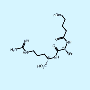 CCCCCCCCCCCCCC(=O)N[C@H](C(=O)N[C@@H](CCCNC(=N)N)C(=O)O)C(C)C